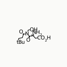 CC(C)(C)CCC(=O)N(CO)C(=O)[C@@H](N)CC(=O)O